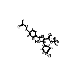 CC(=O)OCc1ccc(-c2nc(C(=O)OC(C)(C)C)c(-c3ccc(Cl)cc3)[nH]2)cc1